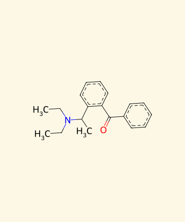 CCN(CC)C(C)c1ccccc1C(=O)c1ccccc1